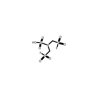 O=S(=O)(F)CN(CS(=O)(=O)F)S(=O)(=O)O